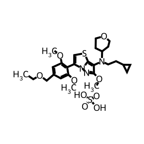 CCOCc1cc(OC)c(-c2csc3c(N(CCC4CC4)C4CCOCC4)c(OC)nn23)c(OC)c1.O=S(=O)(O)O